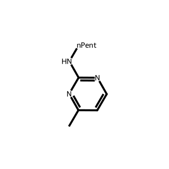 CCCCCNc1nccc(C)n1